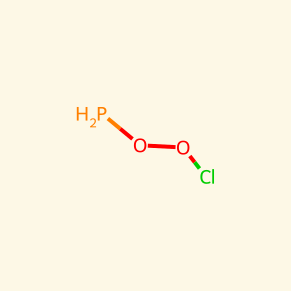 POOCl